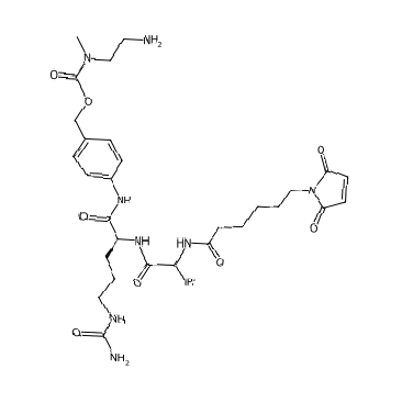 CC(C)C(NC(=O)CCCCCN1C(=O)C=CC1=O)C(=O)N[C@@H](CCCNC(N)=O)C(=O)Nc1ccc(COC(=O)N(C)CCN)cc1